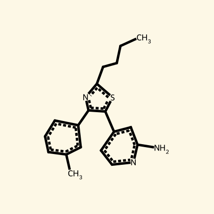 CCCCc1nc(-c2cccc(C)c2)c(-c2ccnc(N)c2)s1